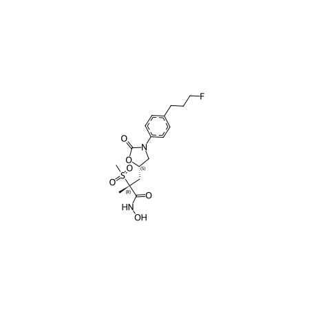 C[C@@](C[C@H]1CN(c2ccc(CCCF)cc2)C(=O)O1)(C(=O)NO)S(C)(=O)=O